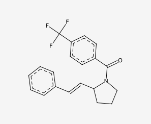 O=C(c1ccc(C(F)(F)F)cc1)N1CCCC1C=Cc1ccccc1